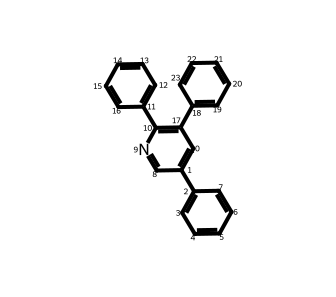 [c]1c(-c2ccccc2)cnc(-c2ccccc2)c1-c1ccccc1